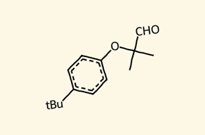 CC(C)(C=O)Oc1ccc(C(C)(C)C)cc1